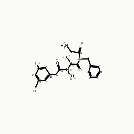 C[C@@H](C(=O)N(Cc1ccccc1)C(=O)CN)N(C)C(=O)Cc1cc(F)cc(F)c1